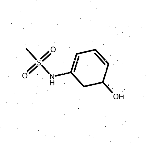 CS(=O)(=O)NC1=CC=CC(O)C1